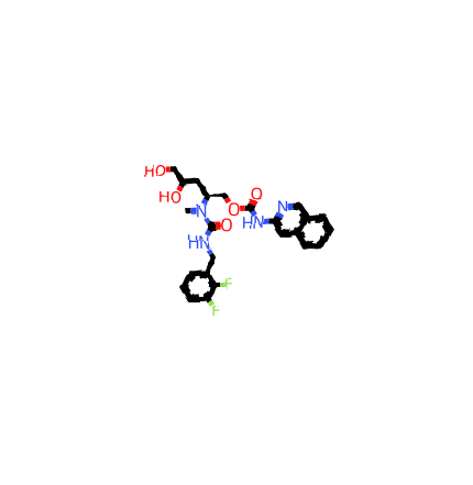 CN(C(=O)NCc1cccc(F)c1F)[C@H](COC(=O)Nc1cc2ccccc2cn1)CC(O)CO